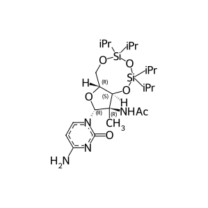 CC(=O)N[C@]1(C)[C@@H]2O[Si](C(C)C)(C(C)C)O[Si](C(C)C)(C(C)C)OC[C@H]2O[C@H]1n1ccc(N)nc1=O